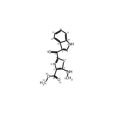 CNc1sc(C(=O)c2c[nH]c3ccccc23)nc1C(=O)OC